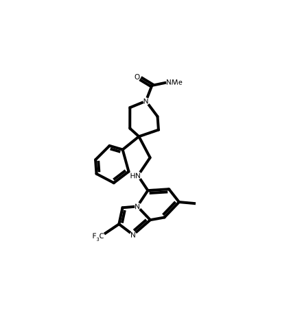 CNC(=O)N1CCC(CNc2cc(C)cc3nc(C(F)(F)F)cn23)(c2ccccc2)CC1